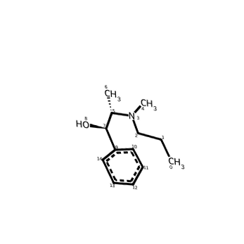 CCCN(C)[C@@H](C)[C@H](O)c1ccccc1